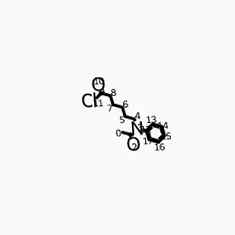 CC(=O)N(CCCCCC(=O)Cl)c1ccccc1